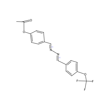 CC(=O)Oc1ccc(/C=N/N=C/c2ccc(OC(F)(F)F)cc2)cc1